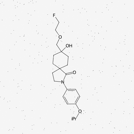 CC(C)Oc1ccc(N2CCC3(CCC(O)(COCCF)CC3)C2=O)cc1